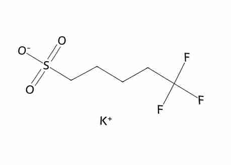 O=S(=O)([O-])CCCCC(F)(F)F.[K+]